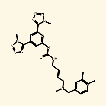 Cc1ccc(CN(C)CC=CCNC(=O)Nc2cc(-c3nnnn3C)cc(-c3nnnn3C)c2)cc1C